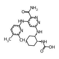 Cc1ccc(Nc2cc(N[C@@H]3CCCC[C@@H]3NC(=O)O)nnc2C(N)=O)nc1C